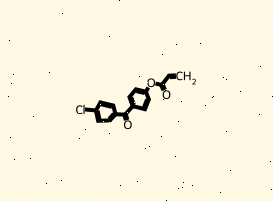 C=CC(=O)Oc1ccc(C(=O)c2ccc(Cl)cc2)cc1